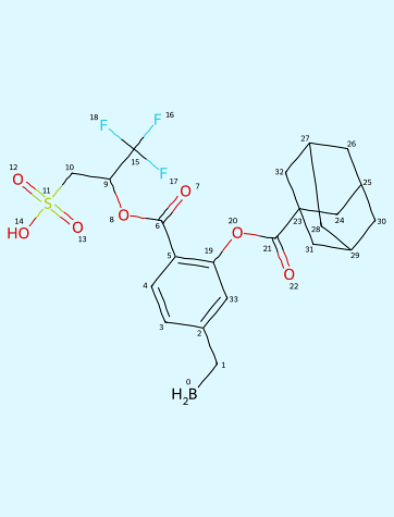 BCc1ccc(C(=O)OC(CS(=O)(=O)O)C(F)(F)F)c(OC(=O)C23CC4CC(CC(C4)C2)C3)c1